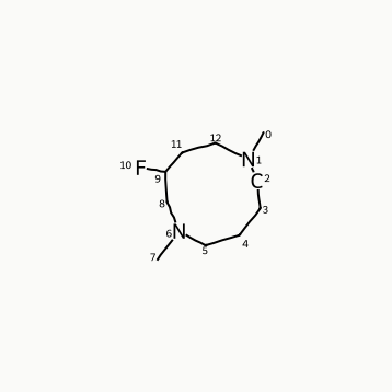 CN1CCCCN(C)CC(F)CC1